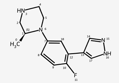 C[C@H]1CNCCN1c1ccc(F)c(-c2cn[nH]c2)c1